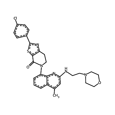 Cc1cc(NCCN2CCOCC2)nc2c(N3CCc4nc(-c5ccc(Cl)cc5)sc4C3=O)cccc12